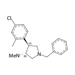 CN[C@H]1CN(Cc2ccccc2)C[C@@H]1c1ccc(Cl)cc1C